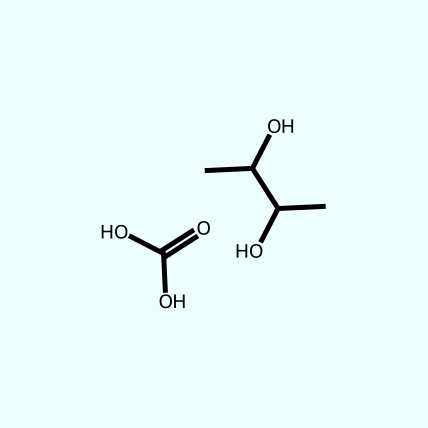 CC(O)C(C)O.O=C(O)O